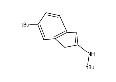 CC(C)(C)NC1=Cc2ccc(C(C)(C)C)cc2C1